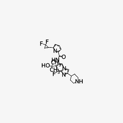 CC(C)(O)c1c(NC(=O)c2cccc(C3CC3(F)F)n2)cn2cc(C3CCNCC3)nc2c1F